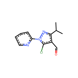 CC(C)c1nn(-c2ccccn2)c(Cl)c1C=O